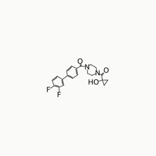 O=C(c1ccc(-c2ccc(F)c(F)c2)cc1)N1CCN(C(=O)C2(O)CC2)CC1